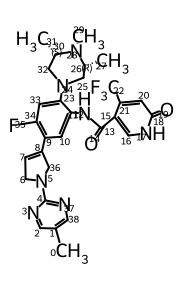 Cc1cnc(N2CC=C(c3cc(NC(=O)c4c[nH]c(=O)cc4C(F)(F)F)c(N4C[C@@H](C)N(C)[C@@H](C)C4)cc3F)C2)nc1